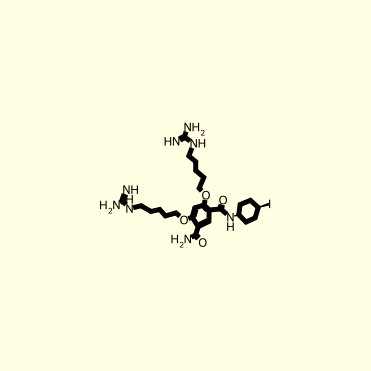 N=C(N)NCCCCCOc1cc(OCCCCCNC(=N)N)c(C(=O)N[C@H]2CC[C@H](I)CC2)cc1C(N)=O